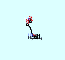 C=C(NCCCCCCCC#Cc1cccc(Oc2cccc3c2C(=O)NC(=O)C3=O)c1)OC(C)(C)C